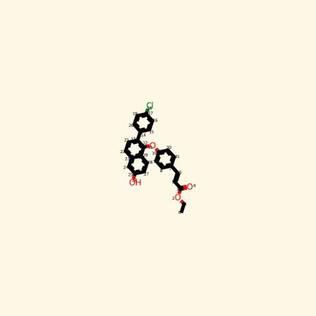 CCOC(=O)C=Cc1ccc(Oc2c(-c3ccc(Cl)cc3)ccc3cc(O)ccc23)cc1